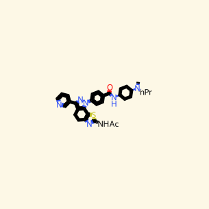 CCCN(C)[C@H]1CC[C@@H](NC(=O)c2ccc(-n3nc(-c4cccnc4)c4c3-c3sc(NC(C)=O)nc3CC4)cc2)CC1